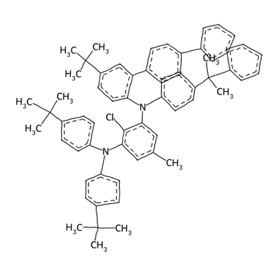 Cc1cc(N(c2ccc(C(C)(C)C)cc2)c2ccc(C(C)(C)C)cc2)c(Cl)c(N(c2ccc(C(C)(C)c3ccccc3)cc2)c2ccc(C(C)(C)C)cc2-c2ccc(-c3ccccc3)cc2)c1